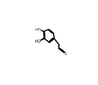 Oc1ccc(C[C]=S)cc1O